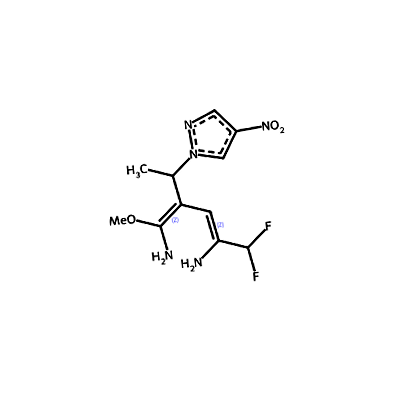 CO/C(N)=C(/C=C(\N)C(F)F)C(C)n1cc([N+](=O)[O-])cn1